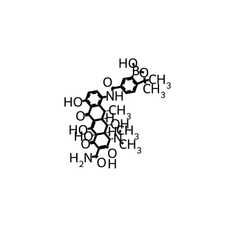 C[C@H]1c2c(NC(=O)c3ccc4c(c3)B(O)OC4(C)C)ccc(O)c2C(=O)C2=C(O)[C@]3(O)C(=O)C(C(N)=O)=C(O)[C@@H](N(C)C)[C@@H]3[C@@H](O)[C@@H]21